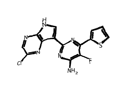 Nc1nc(-c2c[nH]c3ncc(Cl)nc23)nc(-c2cccs2)c1F